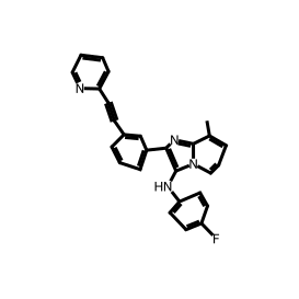 Cc1cccn2c(Nc3ccc(F)cc3)c(-c3cccc(C#Cc4ccccn4)c3)nc12